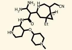 CCC12CC(C(C(=O)NC3CNCCC3OC3CCN(C)CC3)C(N)N)NCC(CC#N)[C@@H]1C2